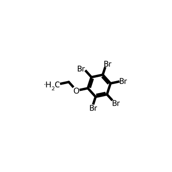 [CH2]COc1c(Br)c(Br)c(Br)c(Br)c1Br